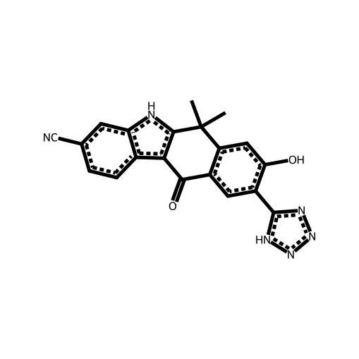 CC1(C)c2cc(O)c(-c3nnn[nH]3)cc2C(=O)c2c1[nH]c1cc(C#N)ccc21